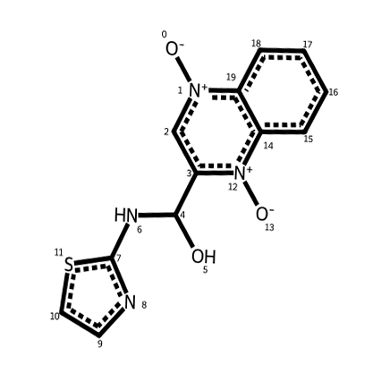 [O-][n+]1cc(C(O)Nc2nccs2)[n+]([O-])c2ccccc21